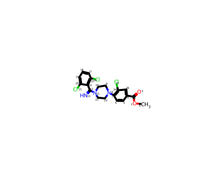 COC(=O)c1ccc(N2CCN(C(=N)c3c(Cl)cccc3Cl)CC2)c(Cl)c1